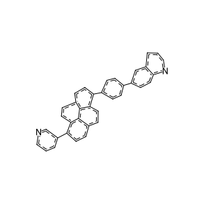 c1cncc(-c2ccc3ccc4c(-c5ccc(-c6ccc7ncccc7c6)cc5)ccc5ccc2c3c54)c1